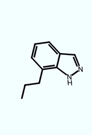 CCCc1cccc2cn[nH]c12